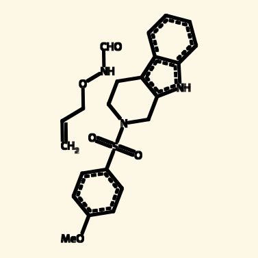 C=CCONC=O.COc1ccc(S(=O)(=O)N2CCc3c([nH]c4ccccc34)C2)cc1